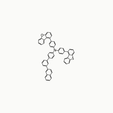 c1cc(-c2ccc(N(c3ccc(-c4cccc5oc6ccccc6c45)cc3)c3ccc(-c4cccc5sc6ccccc6c45)cc3)cc2)cc(-c2ccc3ccccc3c2)c1